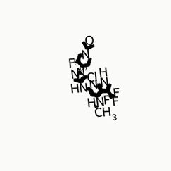 CCNc1cc(Nc2cnn([C@H]3CCN(C4COC4)C[C@@H]3F)c2Cl)nc2[nH]cc(C(F)(F)F)c12